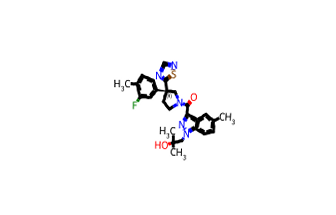 Cc1ccc2c(c1)c(C(=O)N1CC[C@](c3ccc(C)c(F)c3)(c3ncns3)C1)nn2CC(C)(C)O